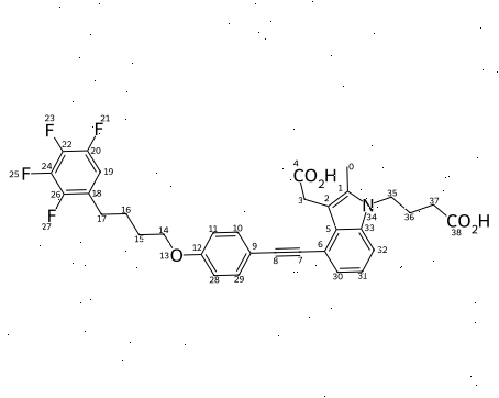 Cc1c(CC(=O)O)c2c(C#Cc3ccc(OCCCCc4cc(F)c(F)c(F)c4F)cc3)cccc2n1CCCC(=O)O